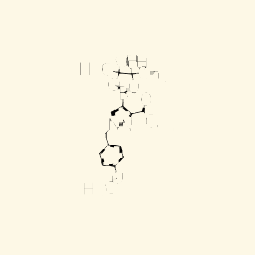 COc1ccc(Cn2cc(B3OC(C)(C)C(C)(C)O3)c(C(C)=O)n2)cc1